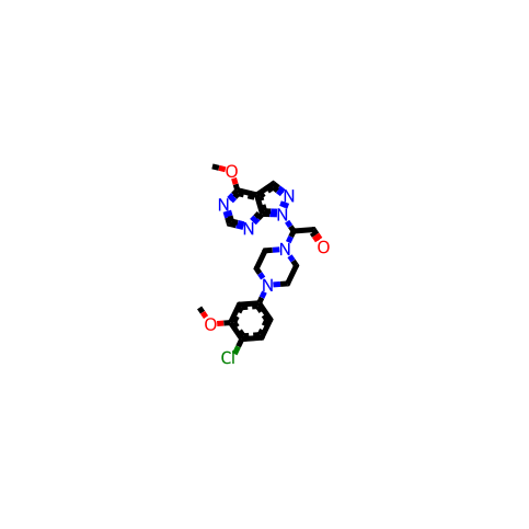 COc1cc(N2CCN(C(C=O)n3ncc4c(OC)ncnc43)CC2)ccc1Cl